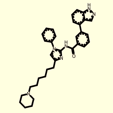 O=C(Nc1nc(CCCCCCN2CCCCC2)cn1-c1ccccc1)c1cccc(-c2cccc3[nH]ncc23)c1